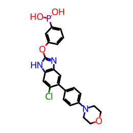 OP(O)c1cccc(Oc2nc3cc(-c4ccc(N5CCOCC5)cc4)c(Cl)cc3[nH]2)c1